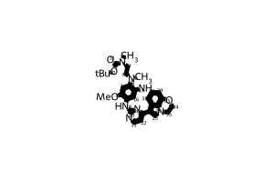 COc1cc(N(C)CCN(C)C(=O)OC(C)(C)C)c(N)cc1Nc1nccc(-c2cn3c4c(cccc24)OCC3)n1